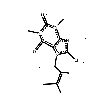 CC(C)=C(C)Cn1c(Cl)nc2c1c(=O)n(C)c(=O)n2C